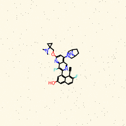 C#Cc1c(F)ccc2cc(O)cc(-c3ncc4c(N5CC6CCC(C5)N6)cc(OCC5(N(C)C)CC5)nc4c3F)c12